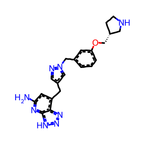 Nc1cc(Cc2cnn(Cc3cccc(OC[C@@H]4CCNC4)c3)c2)c2nn[nH]c2n1